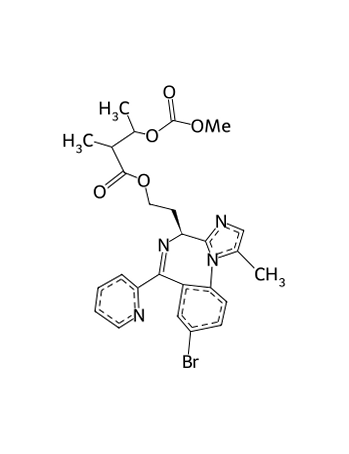 COC(=O)OC(C)C(C)C(=O)OCC[C@@H]1N=C(c2ccccn2)c2cc(Br)ccc2-n2c(C)cnc21